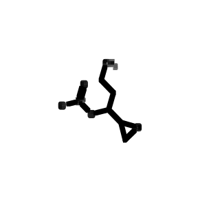 CCCC(O[N+](=O)[O-])C1CO1